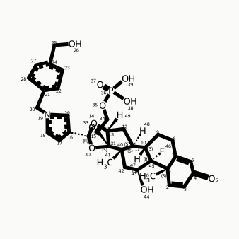 C[C@]12C=CC(=O)C=C1CC[C@H]1[C@@H]3C[C@H]4O[C@@H](c5ccn(Cc6ccc(CO)cc6)c5)O[C@@]4(C(=O)COP(=O)(O)O)[C@@]3(C)C[C@H](O)[C@@]12F